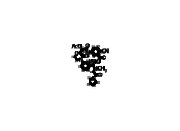 COC(=O)c1cc(NC(=O)[C@H](OC(C)=O)[C@H]2OCCN(c3cccc(C(=O)N(C)CC(=O)N4CCCC4)c3)C2=O)ccc1C#N